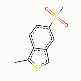 [CH2]c1scc2cc(S(C)(=O)=O)ccc12